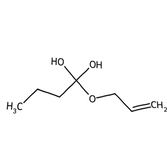 C=CCOC(O)(O)CCC